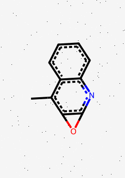 Cc1c2c(nc3ccccc13)O2